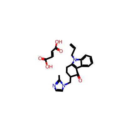 C=CCn1c2c(c3ccccc31)C(=O)C(Cn1ccnc1C)CC2.O=C(O)C=CC(=O)O